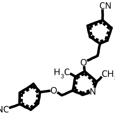 Cc1ncc(COc2ccc(C#N)cc2)c(C)c1OCc1ccc(C#N)cc1